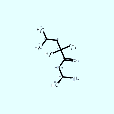 CC(C)CC(C)(C)C(=O)N[C@H](C)N